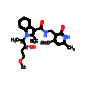 CCOCC[C@@H](O)[C@@H](C)n1c(C)c(C(=O)NCc2c(OC)cc(C)[nH]c2=O)c2ccccc21